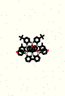 Cc1cc(C)c(B2c3cc(C(C)(C)C)ccc3N3c4ccc(C(C)(C)C)cc4B(c4c(C)cc(C)cc4C)c4cc(-n5c6c(N(c7ccccc7)c7ccccc7)cccc6c6cccc(N(c7ccccc7)c7ccccc7)c65)cc2c43)c(C)c1